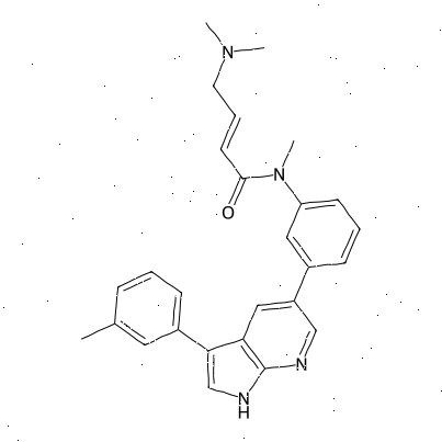 Cc1cccc(-c2c[nH]c3ncc(-c4cccc(N(C)C(=O)/C=C/CN(C)C)c4)cc23)c1